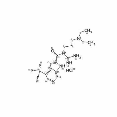 CCN(CC)CCCN(C(=N)N)C(=O)c1cc2c(C(F)(F)F)cccc2[nH]1.Cl